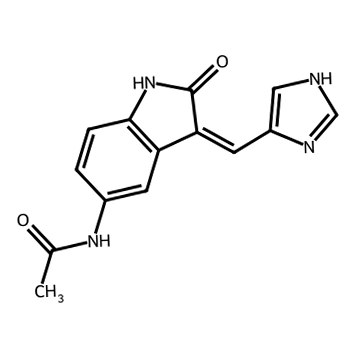 CC(=O)Nc1ccc2c(c1)C(=Cc1c[nH]cn1)C(=O)N2